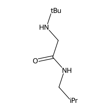 CC(C)CNC(=O)CNC(C)(C)C